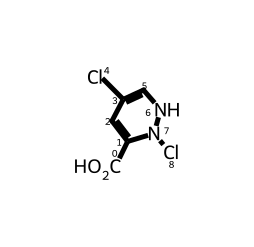 O=C(O)C1=CC(Cl)=CNN1Cl